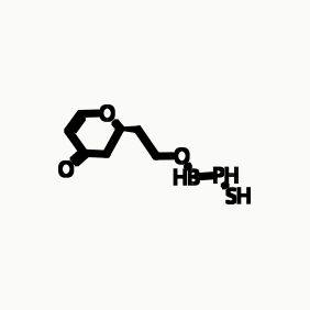 O=C1C=CO[C@@H](CCOBPS)C1